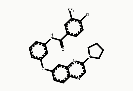 O=C(Nc1cccc(Oc2ccc3ncc(N4CCCC4)nc3c2)c1)c1ccc(Cl)c(C(F)(F)F)c1